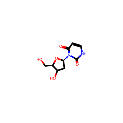 O=c1cc[nH]c(=O)n1[C@H]1CC(O)[C@@H](CO)O1